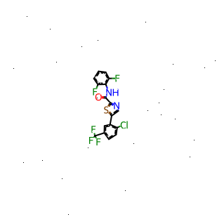 O=C(Nc1c(F)cccc1F)c1ncc(-c2cc(C(F)(F)F)ccc2Cl)s1